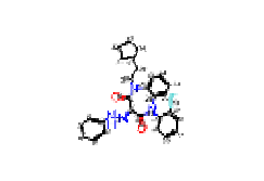 O=c1c(=NNc2ccccc2)c(=O)n(-c2ccccc2F)c2ccccc2n1CCC1CCCC1